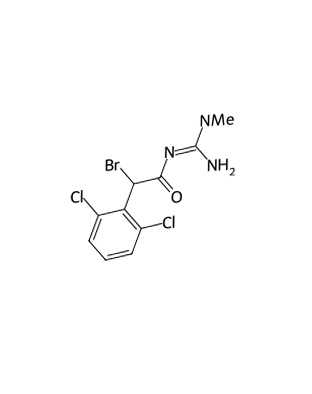 CNC(N)=NC(=O)C(Br)c1c(Cl)cccc1Cl